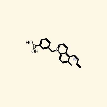 C=C/C=C\c1c(C)ccc2c1ccc[n+]2Cc1cccc(B(O)O)c1